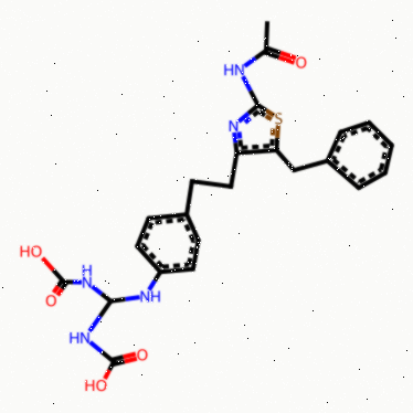 CC(=O)Nc1nc(CCc2ccc(NC(NC(=O)O)NC(=O)O)cc2)c(Cc2ccccc2)s1